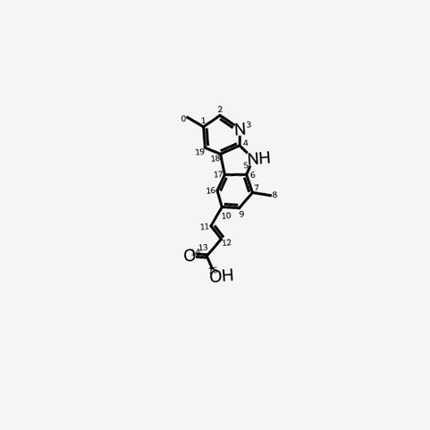 Cc1cnc2[nH]c3c(C)cc(/C=C/C(=O)O)cc3c2c1